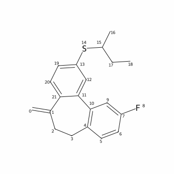 C=C1CCc2ccc(F)cc2-c2cc(SC(C)CC)ccc21